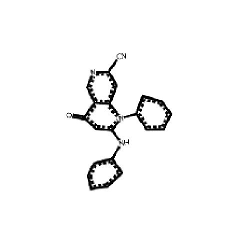 N#Cc1cc2c(cn1)c(=O)cc(Nc1ccccc1)n2-c1ccccc1